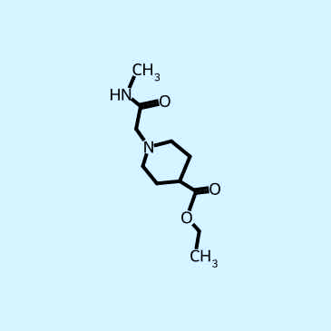 CCOC(=O)C1CCN(CC(=O)NC)CC1